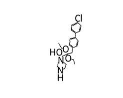 CCOC(Cc1ccc(-c2ccc(Cl)cc2)cc1)(OCC)C(O)N1CCNCC1